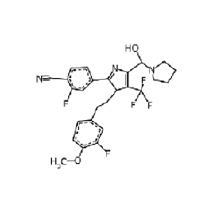 COc1ccc(CCC2C(c3ccc(C#N)c(F)c3)=NC(C(O)N3CCCC3)=C2C(F)(F)F)cc1F